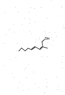 CCCCC=CC=C(C)CO